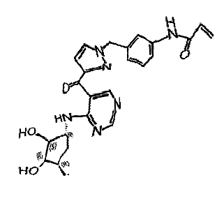 [CH2][C@@H]1C[C@@H](Nc2ncncc2C(=O)c2ccn(Cc3cccc(NC(=O)C=C)c3)n2)[C@H](O)[C@@H]1O